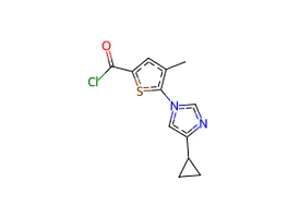 Cc1cc(C(=O)Cl)sc1-n1cnc(C2CC2)c1